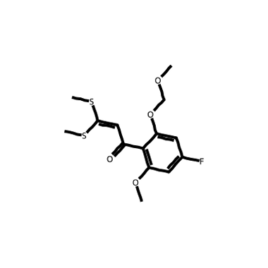 COCOc1cc(F)cc(OC)c1C(=O)C=C(SC)SC